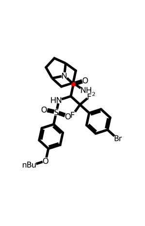 CCCCOc1ccc(S(=O)(=O)NC(C(=O)N2C3CCC2CC(N)C3)C(F)(F)c2ccc(Br)cc2)cc1